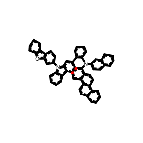 c1ccc(N(c2ccc3ccccc3c2)c2cccc3c2ccc2c4ccccc4ccc32)c(-c2ccc3c4ccccc4n(-c4ccc5c(c4)oc4ccccc45)c3c2)c1